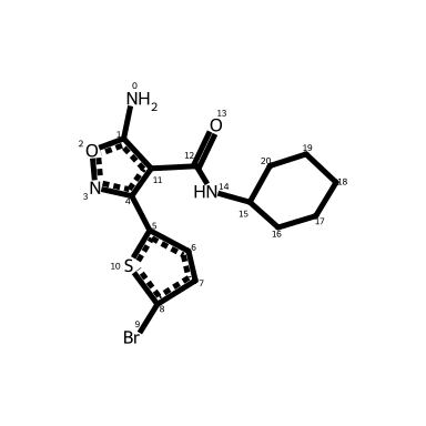 Nc1onc(-c2ccc(Br)s2)c1C(=O)NC1CCCCC1